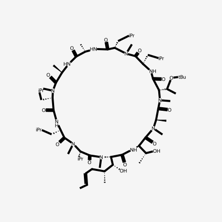 C/C=C/C[C@@H](C)[C@@H](O)[C@H]1C(=O)N[C@@H]([C@@H](C)O)C(=O)N(C)[C@H](C)C(=O)N(C)[C@@H](C(C)OC(C)(C)C)C(=O)N[C@@H](CC(C)C)C(=O)N(C)[C@@H](CC(C)C)C(=O)N[C@@H](C)C(=O)N[C@H](C)C(=O)N(C)[C@@H](CC(C)C)C(=O)N[C@@H](CC(C)C)C(=O)N(C)[C@@H](C(C)C)C(=O)N1C